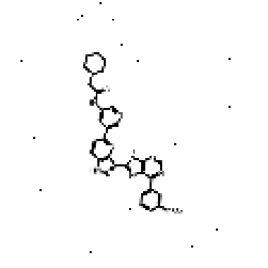 COc1cccc(-c2nccc3[nH]c(-c4n[nH]c5ccc(-c6cncc(NC(=O)CC7CCCCC7)c6)nc45)nc23)c1